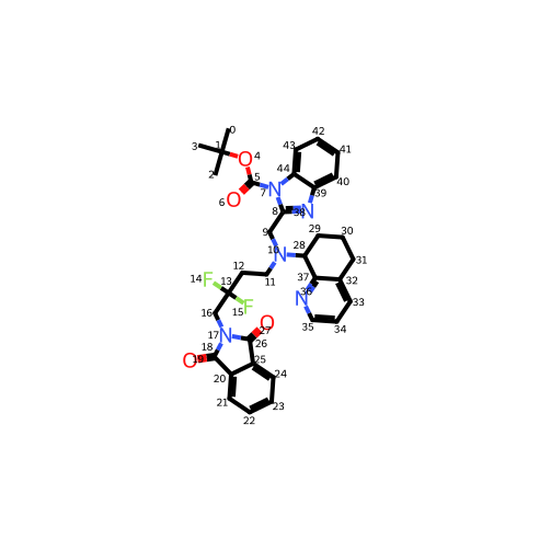 CC(C)(C)OC(=O)n1c(CN(CCC(F)(F)CN2C(=O)c3ccccc3C2=O)C2CCCc3cccnc32)nc2ccccc21